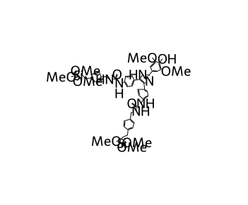 COc1cc(-c2nc(-c3ccc(NC(=O)NCc4ccc(CC[Si](OC)(OC)OC)cc4)cc3)c(-c3ccc(NC(=O)NCc4ccc(CC[Si](OC)(OC)OC)cc4)cc3)[nH]2)cc(OC)c1O